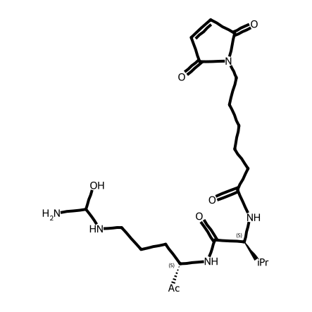 CC(=O)[C@H](CCCNC(N)O)NC(=O)[C@@H](NC(=O)CCCCCN1C(=O)C=CC1=O)C(C)C